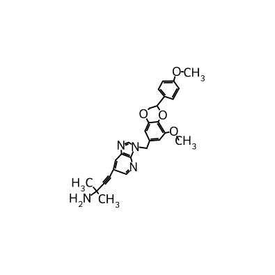 COc1ccc(C2COc3cc(Cn4cnc5cc(C#CC(C)(C)N)cnc54)cc(OC)c3O2)cc1